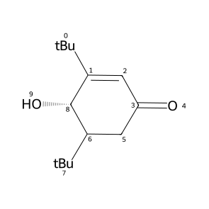 CC(C)(C)C1=CC(=O)CC(C(C)(C)C)[C@@H]1O